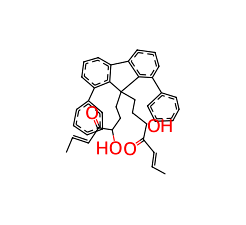 CC=CC(=O)C(O)CCC1(CCC(O)C(=O)C=CC)c2c(-c3ccccc3)cccc2-c2cccc(-c3ccccc3)c21